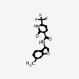 Cc1ccc2c(NC(=O)c3ccc(C(F)(F)F)[nH]c3=O)coc2c1